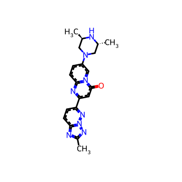 Cc1nc2ccc(-c3cc(=O)n4cc(N5C[C@@H](C)N[C@H](C)C5)ccc4n3)nn2n1